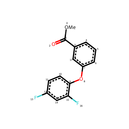 COC(=O)c1cccc(Oc2ccc(F)cc2F)c1